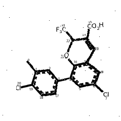 Cc1cc(-c2cc(Cl)cc3c2OC(C(F)(F)F)C(C(=O)O)=C3)ccc1Cl